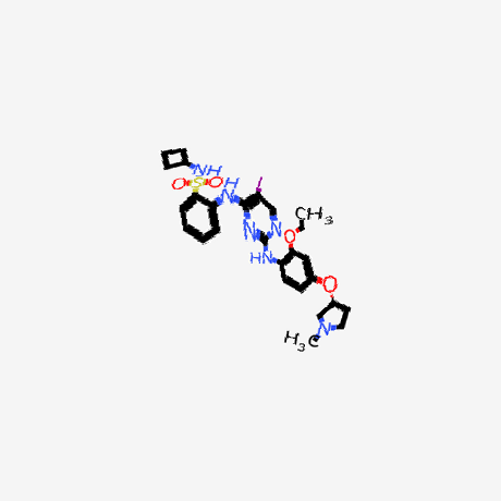 CCOc1cc(O[C@@H]2CCN(C)C2)ccc1Nc1ncc(I)c(Nc2ccccc2S(=O)(=O)NC2CCC2)n1